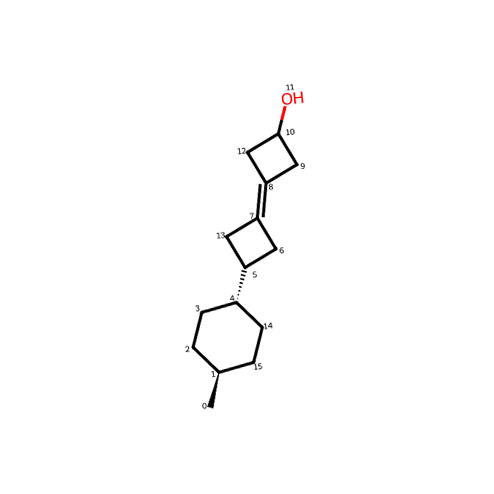 C[C@H]1CC[C@H](C2CC(=C3CC(O)C3)C2)CC1